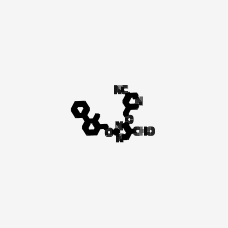 Cc1c(COc2ncc(C=O)c(OCc3cncc(C#N)c3)n2)cccc1-c1ccccc1